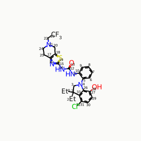 CCC1(CC)CN(c2ccccc2NC(=O)Nc2nc3c(s2)CN(CC(F)(F)F)CC3)c2c(O)ccc(Cl)c21